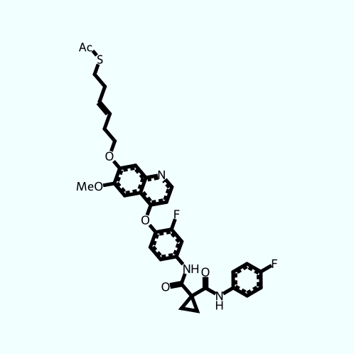 COc1cc2c(Oc3ccc(NC(=O)C4(C(=O)Nc5ccc(F)cc5)CC4)cc3F)ccnc2cc1OCC/C=C/CCSC(C)=O